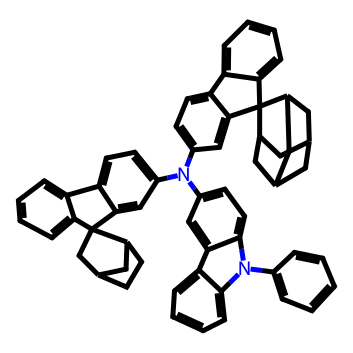 c1ccc(-n2c3ccccc3c3cc(N(c4ccc5c(c4)C4(CC6CCC4C6)c4ccccc4-5)c4ccc5c(c4)C4(c6ccccc6-5)C5CC6CC(C5)CC4C6)ccc32)cc1